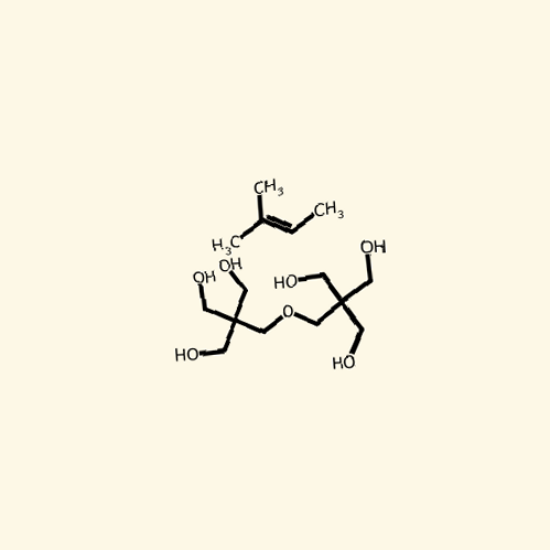 CC=C(C)C.OCC(CO)(CO)COCC(CO)(CO)CO